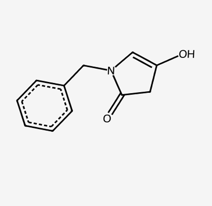 O=C1CC(O)=CN1Cc1ccccc1